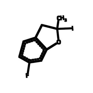 CC1(I)Cc2ccc(F)cc2O1